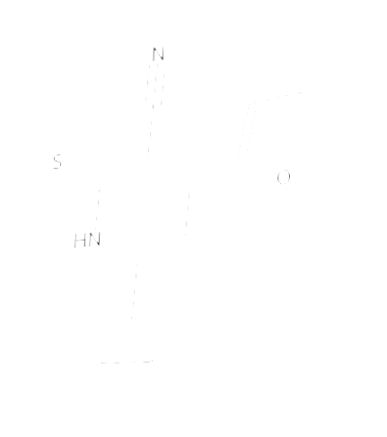 N#Cc1c(-c2ccco2)cc(C2CC2)[nH]c1=S